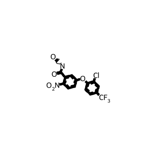 O=C=NC(=O)c1cc(Oc2ccc(C(F)(F)F)cc2Cl)ccc1[N+](=O)[O-]